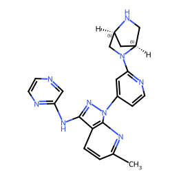 Cc1ccc2c(Nc3cnccn3)nn(-c3ccnc(N4C[C@@H]5C[C@H]4CN5)c3)c2n1